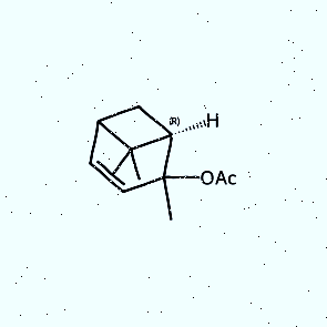 CC(=O)OC1(C)C=CC2C[C@@H]1C2(C)C